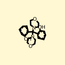 Oc1ccccc1C(c1ccccc1O)(N1CCOCC1)N1CCOCC1